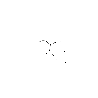 O=C(O)[C@H](CO)N(O)O